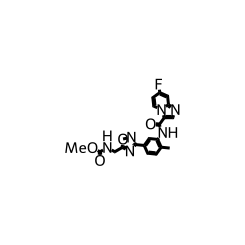 COC(=O)NCc1nc(-c2ccc(C)c(NC(=O)c3cnc4cc(F)ccn34)c2)no1